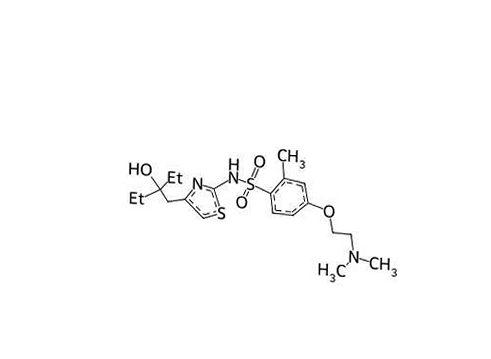 CCC(O)(CC)Cc1csc(NS(=O)(=O)c2ccc(OCCN(C)C)cc2C)n1